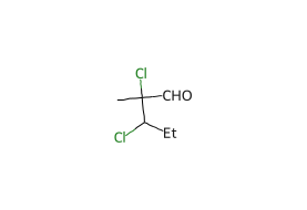 CCC(Cl)C(C)(Cl)C=O